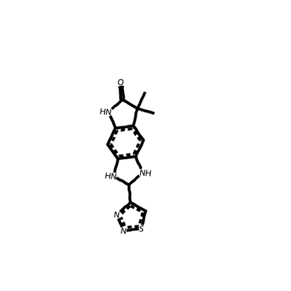 CC1(C)C(=O)Nc2cc3c(cc21)NC(c1csnn1)N3